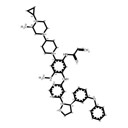 C=CC(=O)Nc1cc(Nc2cc(N3OCC[C@@H]3c3cccc(Oc4ccccc4)c3)ncn2)c(OC)cc1N1CCC(N2CCN(C3CC3)[C@H](C)C2)CC1